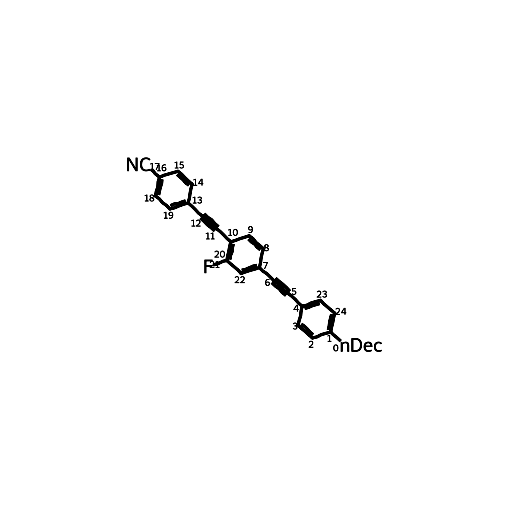 CCCCCCCCCCc1ccc(C#Cc2ccc(C#Cc3ccc(C#N)cc3)c(F)c2)cc1